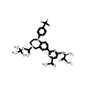 C[C@H](Nc1cc(C(N)=O)nc(-c2ccc3c(c2)CN(C(=O)OC(C)(C)C)CCN3c2ccc(C(F)(F)F)cc2)n1)C(N)=O